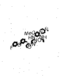 C=CC(=O)Nc1cc(Nc2cc(N3OCC[C@@H]3Cc3cccc(Oc4cccc(F)c4)c3)ncn2)c(OC)cc1N1CCC(N(C)C)CC1